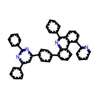 c1ccc(-c2cc(-c3ccc(-c4cccc5c4nc(-c4ccccc4)c4cccc(-c6ccccn6)c45)cc3)nc(-c3ccccc3)n2)cc1